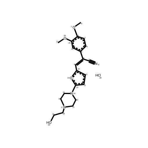 COc1ccc(C(C#N)=Cc2ccc(N3CCN(CCO)CC3)o2)cc1OC.Cl